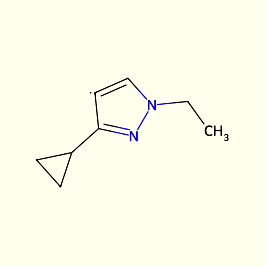 CCn1c[c]c(C2CC2)n1